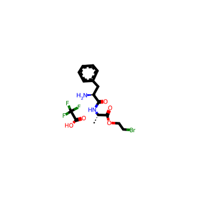 C[C@H](NC(=O)[C@@H](N)Cc1ccccc1)C(=O)OCCBr.O=C(O)C(F)(F)F